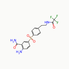 NC(=O)c1cc(S(=O)(=O)c2ccc(CCNC(=O)C(F)(F)F)cc2)ccc1N